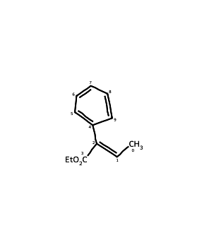 C/C=C(/C(=O)OCC)c1ccccc1